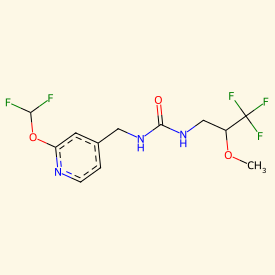 COC(CNC(=O)NCc1ccnc(OC(F)F)c1)C(F)(F)F